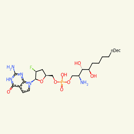 CCCCCCCCCCCCCC[C@@H](O)[C@@H](O)[C@@H](N)COP(=O)(O)OC[C@@H]1C[C@H](F)[C@H](n2ccc3c(=O)[nH]c(N)nc32)O1